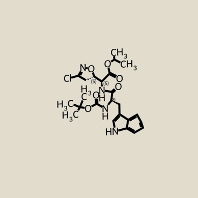 CC(C)OC(=O)[C@@H](NC(=O)[C@@H](Cc1c[nH]c2ccccc12)NC(=O)OC(C)(C)C)[C@@H]1CC(Cl)=NO1